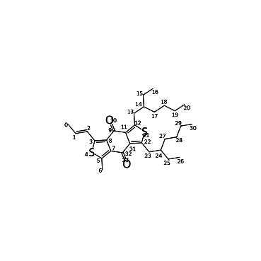 C/C=C/c1sc(C)c2c1C(=O)c1c(CC(CC)CCCC)sc(CC(CC)CCCC)c1C2=O